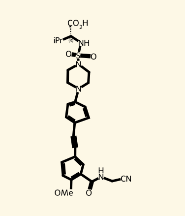 COc1ccc(C#Cc2ccc(N3CCN(S(=O)(=O)N[C@@H](C(=O)O)C(C)C)CC3)cc2)cc1C(=O)NCC#N